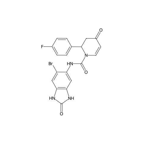 O=C1C=CN(C(=O)Nc2cc3[nH]c(=O)[nH]c3cc2Br)C(c2ccc(F)cc2)C1